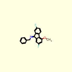 COc1cc(F)cc2c1-c1ccc(F)cc1/C2=N/Cc1ccccc1